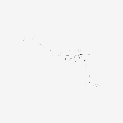 C=CCc1c(C(=O)O)c2cc(-c3ccc(OCCNC(=O)CCCCCCCCC(=O)OC)cc3)c(Cl)cc2n1C(=O)CCCCCCCCC(=O)OC